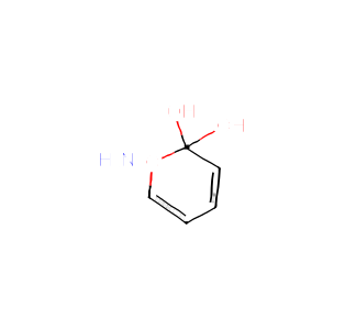 N.OC1(O)C=CC=CO1